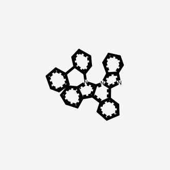 c1ccc(-c2ccccc2-n2c3ccccc3c3c4ccccc4c4nc5ccccc5n4c32)cc1